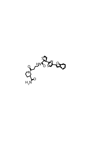 NC(=O)C1CCCN(C(=O)CCCNC(=O)c2sccc2-c2nc(-c3cc4ccccc4o3)cs2)C1